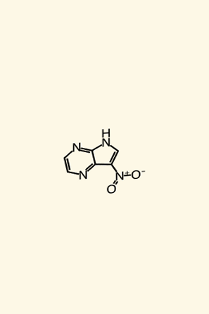 O=[N+]([O-])c1c[nH]c2nccnc12